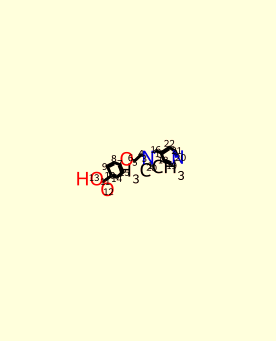 CC(C)N(CCOc1ccc(C(=O)O)cc1)Cc1ccncc1